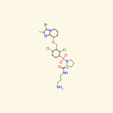 Cc1nc2c(OCc3c(Cl)ccc(S(=O)(=O)N4CCC[C@H]4C(=O)NCCCN)c3Cl)cccn2c1Br